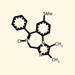 CSc1ccc2c(c1)C(c1ccccc1)=[N+]([O-])Cc1nc(C)c(C)n1-2